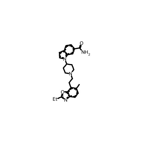 CCc1nc2ccc(C)c(CCN3CCC(n4ccc5ccc(C(N)=O)cc54)CC3)c2o1